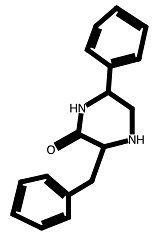 O=C1NC(c2ccccc2)CNC1Cc1ccccc1